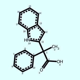 CC(C(=O)O)(c1ccccc1)c1cc2ccccc2[nH]1